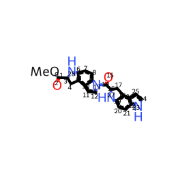 COC(=O)C1Cc2c(ccc3c2ccn3C(=O)C2Cc3c(ccc4[nH]ccc34)N2)N1